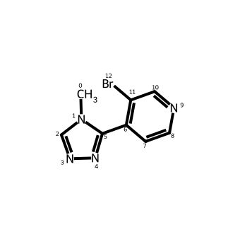 Cn1cnnc1-c1ccncc1Br